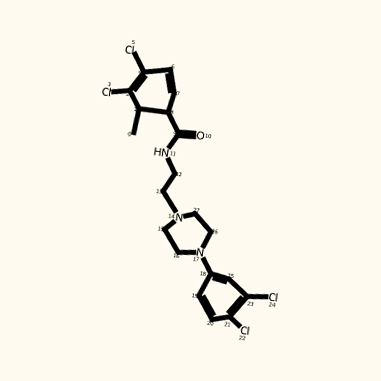 CC1C(Cl)=C(Cl)C=CC1C(=O)NCCN1CCN(c2ccc(Cl)c(Cl)c2)CC1